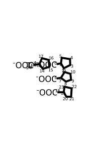 O=C([O-])C1CCCC1.O=C([O-])C1CCCC1.O=C([O-])C1CCCC1.O=C([O-])C1CCCC1.[Ti+4]